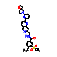 Cc1ccc(C(=O)NCc2cc3nc(-c4cccc(N5CCC6(CCO6)C5)n4)ccc3cn2)cc1S(C)(=O)=O